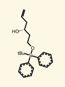 C=CC[C@@H](O)CCO[Si](c1ccccc1)(c1ccccc1)C(C)(C)C